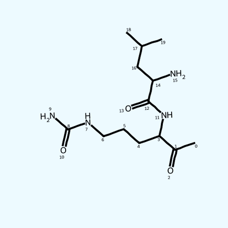 CC(=O)C(CCCNC(N)=O)NC(=O)C(N)CC(C)C